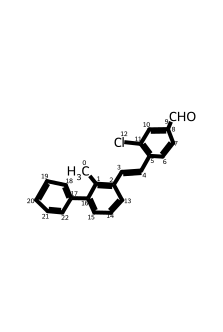 Cc1c(/C=C/c2ccc(C=O)cc2Cl)cccc1-c1ccccc1